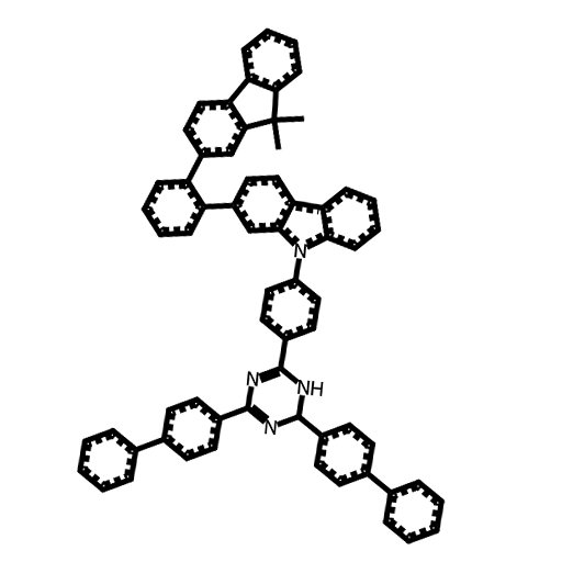 CC1(C)c2ccccc2-c2ccc(-c3ccccc3-c3ccc4c5ccccc5n(-c5ccc(C6=NC(c7ccc(-c8ccccc8)cc7)=NC(c7ccc(-c8ccccc8)cc7)N6)cc5)c4c3)cc21